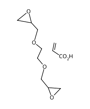 C(COCC1CO1)OCC1CO1.C=CC(=O)O